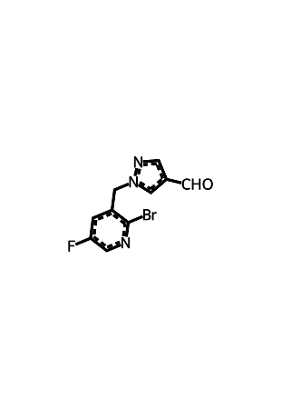 O=Cc1cnn(Cc2cc(F)cnc2Br)c1